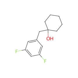 OC1(Cc2cc(F)cc(F)c2)CCCCC1